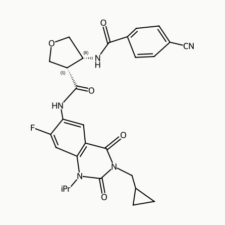 CC(C)n1c(=O)n(CC2CC2)c(=O)c2cc(NC(=O)[C@@H]3COC[C@@H]3NC(=O)c3ccc(C#N)cc3)c(F)cc21